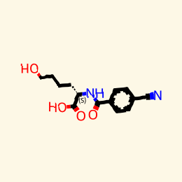 N#Cc1ccc(C(=O)N[C@@H](CCCCO)C(=O)O)cc1